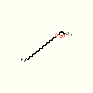 CCCCCCCCCCCCCCCCCCOC(=O)/C=C\C(C)=O